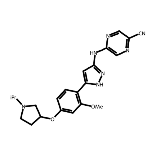 COc1cc(OC2CCN(C(C)C)C2)ccc1-c1cc(Nc2cnc(C#N)cn2)n[nH]1